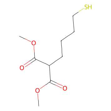 COC(=O)C(CCCCS)C(=O)OC